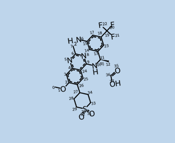 COc1cc2nc(C)nc(N[C@H](C)c3cc(N)cc(C(F)(F)F)c3)c2cc1C1CCS(=O)(=O)CC1.O=CO